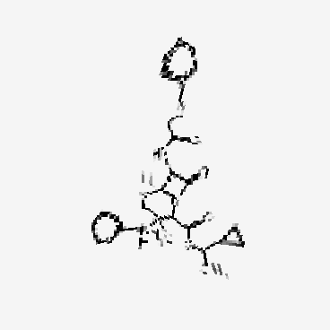 CC(OC(=O)C1N2C(=O)C(NC(=O)COc3ccccc3)[C@@H]2SCC1(C)Nc1ccccc1)C1CC1